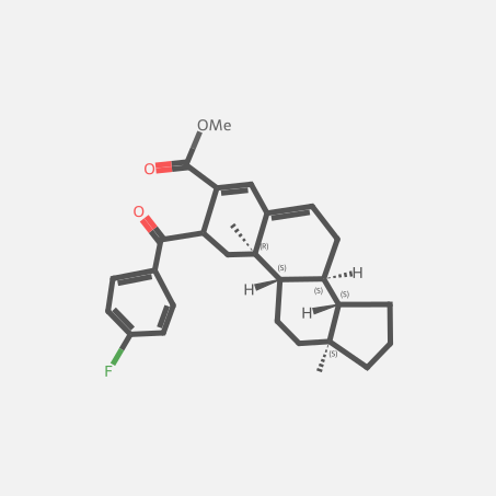 COC(=O)C1=CC2=CC[C@H]3[C@@H]4CCC[C@@]4(C)CC[C@@H]3[C@@]2(C)CC1C(=O)c1ccc(F)cc1